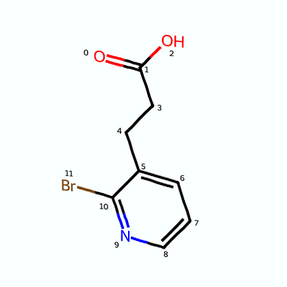 O=C(O)CCc1cccnc1Br